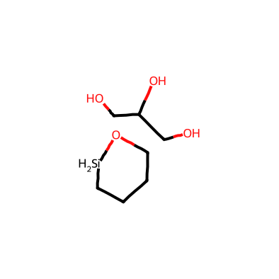 C1CC[SiH2]OC1.OCC(O)CO